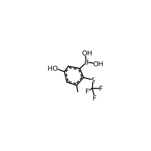 Cc1cc(O)cc(B(O)O)c1SC(F)(F)F